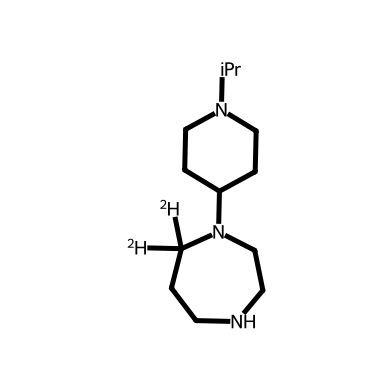 [2H]C1([2H])CCNCCN1C1CCN(C(C)C)CC1